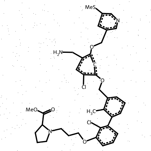 COC(=O)C1CCCN1CCCOc1cccc(-c2cccc(COc3cc(OCc4cncc(SC)c4)c(CN)cc3Cl)c2C)c1Cl